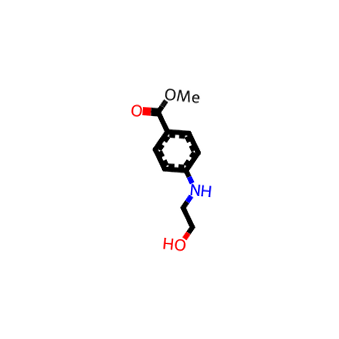 COC(=O)c1ccc(NCCO)cc1